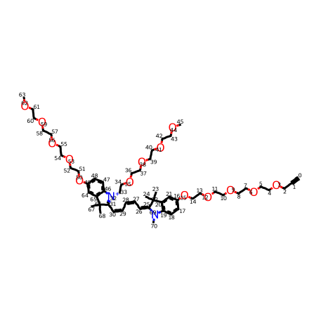 C#CCOCCOCCOCCOCCOc1ccc2c(c1)C(C)(C)\C(=C/C=C\C=C/C1=[N+](CCOCCOCCOCCOC)c3ccc(OCCOCCOCCOCCOC)cc3C1(C)C)N2C